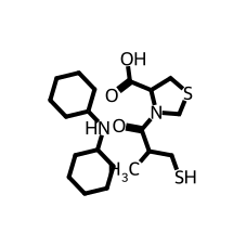 C1CCC(NC2CCCCC2)CC1.CC(CS)C(=O)N1CSCC1C(=O)O